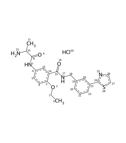 CCOc1ccc(NC(=O)C(C)N)cc1C(=O)NCc1cccc(-c2nccs2)c1.Cl